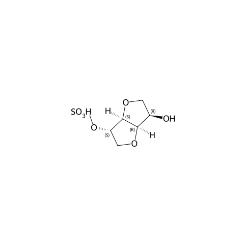 O=S(=O)(O)O[C@H]1CO[C@H]2[C@@H]1OC[C@H]2O